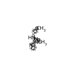 COc1ccc(CCNc2cc(-c3cnc4ccccc4c3)nc(OC)n2)cc1